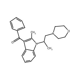 Cc1c(C(=O)c2ccccc2)c2ccccc2n1C(C)CN1CCOCC1